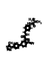 Cc1ncnn1-c1ccc(N2CCc3c(c(C(=O)NCc4ccc(NC(=O)N(C)C)cc4)nn3C(C)C)C2)nc1